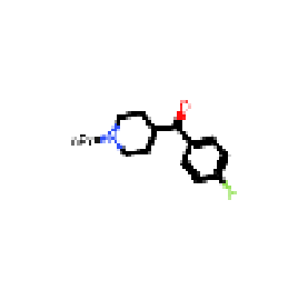 CCCN1CCC(C(=O)c2ccc(F)cc2)CC1